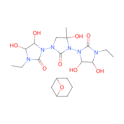 C1CC2CC(C1)O2.CCN1C(=O)N(N2CC(C)(O)N(N3C(=O)N(CC)C(O)C3O)C2=O)C(O)C1O